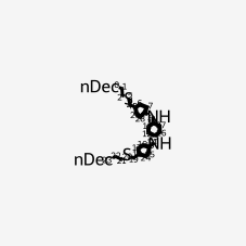 CCCCCCCCCCCCSCc1ccc(Nc2ccc(Nc3ccc(CSCCCCCCCCCCCC)cc3)cc2)cc1